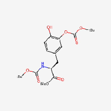 COC(=O)[C@H](Cc1ccc(O)c(OC(=O)OC(C)(C)C)c1)NC(=O)OC(C)(C)C